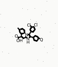 COc1ccc(-c2[nH]c(/C=C(/C(=O)O)c3cccc(C)c3)nc2-c2ccc(Cl)c(Cl)c2)cc1